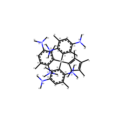 CC1=C(C)C(C)C([Si](c2c(C)c(N(C)C)cc(C)c2N(C)C)(c2c(C)c(N(C)C)cc(C)c2N(C)C)c2c(C)c(N(C)C)cc(C)c2N(C)C)=C1C